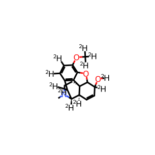 [2H]OC1([2H])C=C[C@]2([2H])[C@@]34CCN(C)[C@]2([2H])C([2H])([2H])c2c([2H])c([2H])c(OC([2H])([2H])[2H])c(c23)OC14